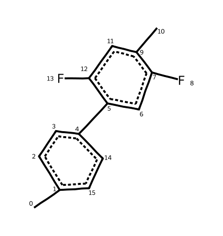 Cc1ccc(-c2cc(F)c(C)cc2F)cc1